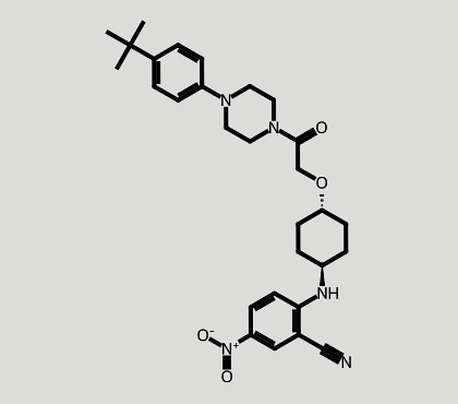 CC(C)(C)c1ccc(N2CCN(C(=O)CO[C@H]3CC[C@H](Nc4ccc([N+](=O)[O-])cc4C#N)CC3)CC2)cc1